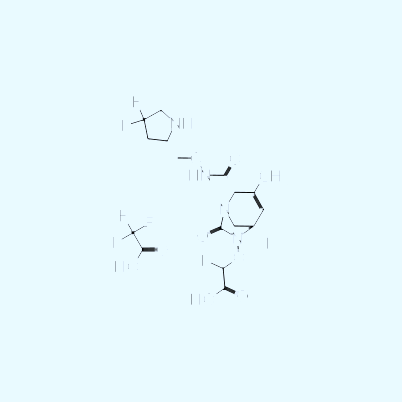 CC1=C[C@@H]2CN(C(=O)N2OC(F)C(=O)O)[C@@H]1C(=O)NOC[C@@H]1CC(F)(F)CN1.O=C(O)C(F)(F)F